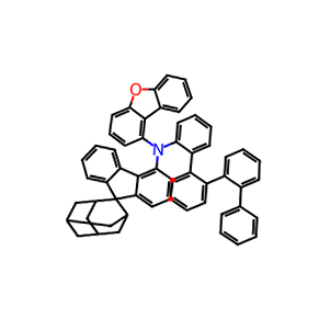 c1ccc(-c2ccccc2-c2ccccc2-c2ccccc2N(c2cccc3c2-c2ccccc2C32C3CC4CC(C3)CC2C4)c2cccc3oc4ccccc4c23)cc1